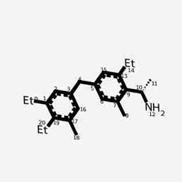 CCc1cc(Cc2cc(C)c([C@H](C)N)c(CC)c2)cc(C)c1CC